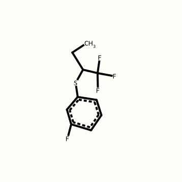 CCC(Sc1cccc(F)c1)C(F)(F)F